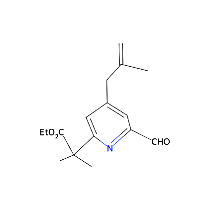 C=C(C)Cc1cc(C=O)nc(C(C)(C)C(=O)OCC)c1